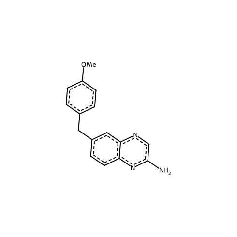 COc1ccc(Cc2ccc3nc(N)cnc3c2)cc1